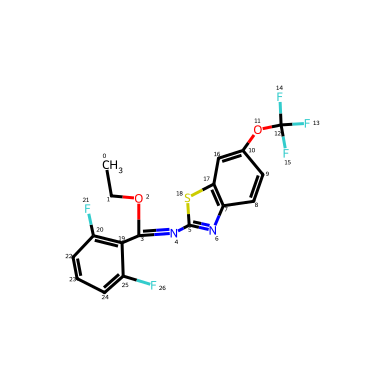 CCOC(=Nc1nc2ccc(OC(F)(F)F)cc2s1)c1c(F)cccc1F